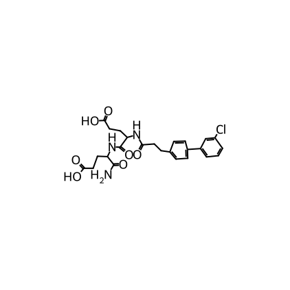 NC(=O)C(CCC(=O)O)NC(=O)C(CCC(=O)O)NC(=O)CCc1ccc(-c2cccc(Cl)c2)cc1